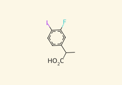 CC(C(=O)O)c1ccc(I)c(F)c1